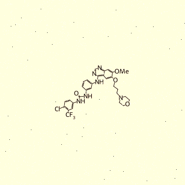 COc1cc2ncnc(Nc3cccc(NC(=O)Nc4ccc(Cl)c(C(F)(F)F)c4)c3)c2cc1OCCCN1CCOCC1